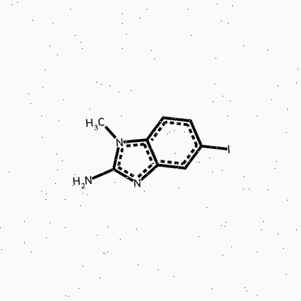 Cn1c(N)nc2cc(I)ccc21